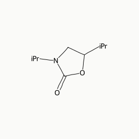 CC(C)C1CN(C(C)C)C(=O)O1